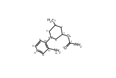 CC1CC(OC(N)=O)CN(c2ccncc2N)C1